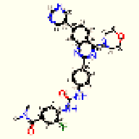 CN(C)C(=O)c1ccc(NC(=O)Nc2ccc(-c3nc(N4CCOCC4)c4ccc(-c5cncnc5)cc4n3)cc2)c(F)c1